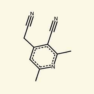 Cc1cc(CC#N)c(C#N)c(C)n1